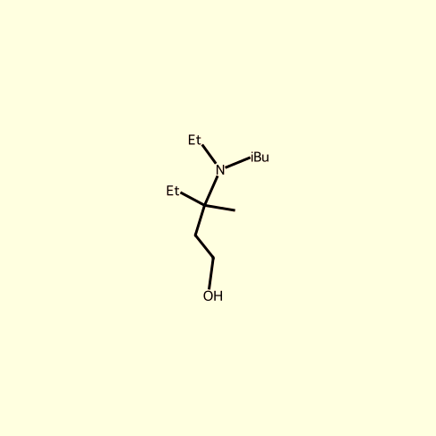 CCC(C)N(CC)C(C)(CC)CCO